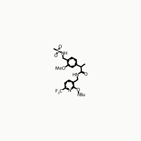 CCCCOc1nc(C(F)(F)F)ccc1CNC(=O)C(C)c1ccc(CNS(C)(=O)=O)c(OC)c1